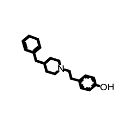 Oc1ccc(CCN2CCC(CC3=CCCC=C3)CC2)cc1